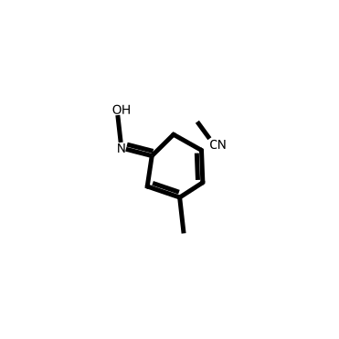 CC#N.CC1=CC(=NO)CC=C1